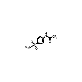 CNS(=O)(=O)c1ccc(NC(=O)C(F)(F)F)cc1